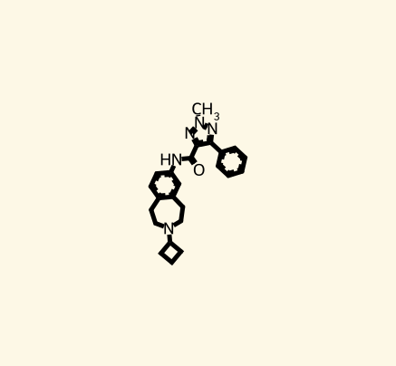 Cn1nc(C(=O)Nc2ccc3c(c2)CCN(C2CCC2)CC3)c(-c2ccccc2)n1